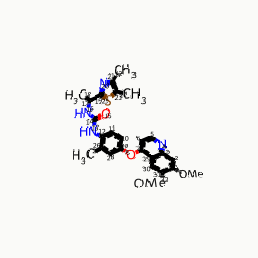 COc1cc2nccc(Oc3ccc(NC(=O)NC(C)c4nc(C)c(C)s4)c(C)c3)c2cc1OC